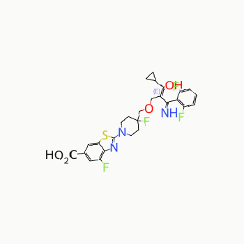 N=C(/C(COCC1(F)CCN(c2nc3c(F)cc(C(=O)O)cc3s2)CC1)=C(\O)C1CC1)c1c(F)cccc1F